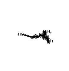 COP(=O)(OC[C@H]1O[C@@H](n2cnc3c(N)ncnc32)C[C@@H]1OP(=O)(O)OC[C@@H]1CC[C@H](n2ccc(=O)[nH]c2=O)O1)SCc1ccc(OC(=O)c2ccc(OCCCCCCCCCCCCO)cc2)cc1